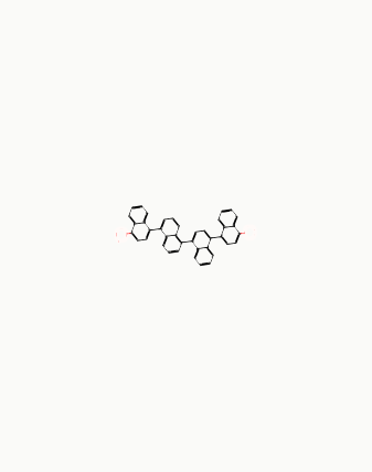 COc1ccc(-c2cccc3c(-c4ccc(-c5ccc(OC)c6ccccc56)c5ccccc45)cccc23)c2ccccc12